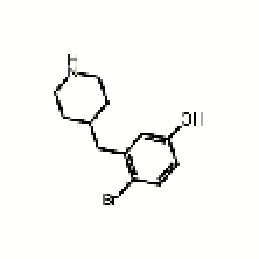 Oc1ccc(Br)c(CC2CCNCC2)c1